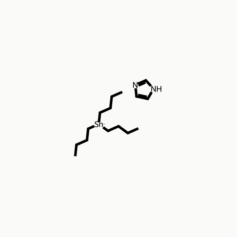 CCC[CH2][Sn]([CH2]CCC)[CH2]CCC.c1c[nH]cn1